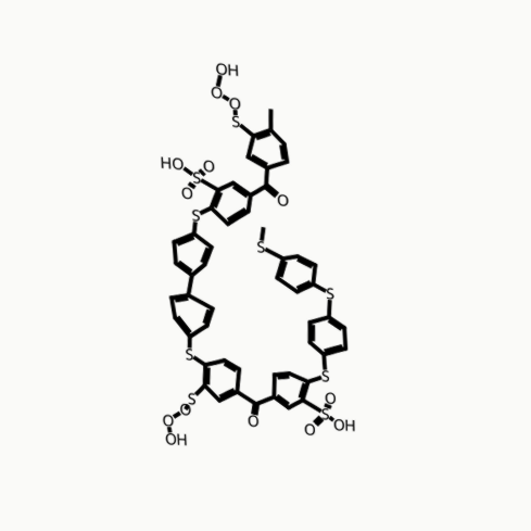 CSc1ccc(Sc2ccc(Sc3ccc(C(=O)c4ccc(Sc5ccc(-c6ccc(Sc7ccc(C(=O)c8ccc(C)c(SOOO)c8)cc7S(=O)(=O)O)cc6)cc5)c(SOOO)c4)cc3S(=O)(=O)O)cc2)cc1